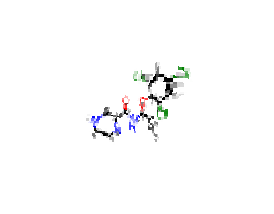 CC(NC(=O)c1cnccn1)Oc1c(Cl)cc(Cl)cc1Cl